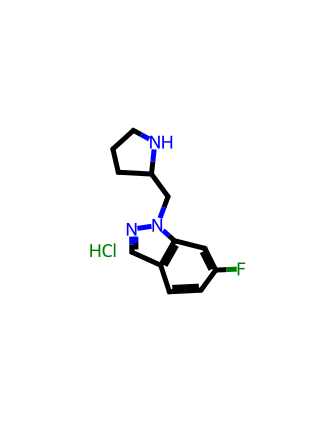 Cl.Fc1ccc2cnn(CC3CCCN3)c2c1